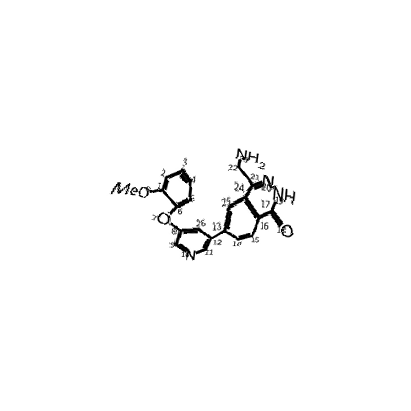 COc1ccccc1Oc1cncc(-c2ccc3c(=O)[nH]nc(CN)c3c2)c1